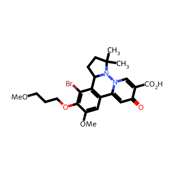 COCCCOc1c(OC)cc2c(c1Br)C1CCC(C)(C)N1n1cc(C(=O)O)c(=O)cc1-2